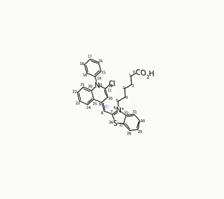 O=C(O)CCCCC[n+]1c(/C=C2\C=C(Cl)N(c3ccccc3)c3ccccc32)sc2ccccc21